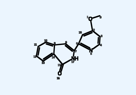 COc1ccnc(-c2cc3ccccc3c(=O)[nH]2)c1